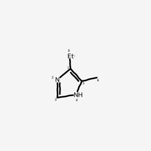 C[CH]c1nc[nH]c1C